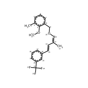 COc1c(C)cccc1CON=C(C)C=Cc1cccc(C(F)(F)F)c1